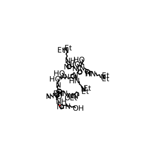 CCN(CC)CCCCNCc1cc(C=NC(c2ccccc2)C(O)C(N=Cc2ccnc(CNCCCCN(CC)CC)c2)C(C)(C)CO)ccn1.CCN(CC)CCCCNCc1cc(C=NCC2(CO)CC2)ccn1.CCN(CC1CCCN1C)C(=O)CNCc1cc(C=NCCO)ccn1.CCN(CCN(C)C)C(=O)CNCc1cc(C=NCCCO)ccn1